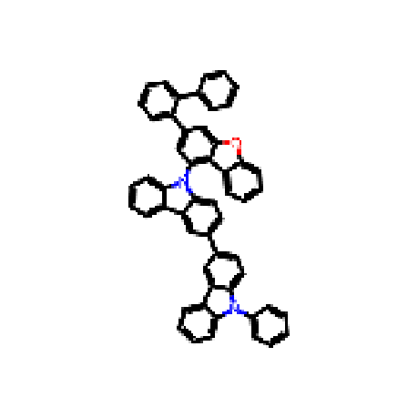 c1ccc(-c2ccccc2-c2cc(-n3c4ccccc4c4cc(-c5ccc6c(c5)c5ccccc5n6-c5ccccc5)ccc43)c3c(c2)oc2ccccc23)cc1